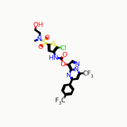 CN(CCO)S(=O)(=O)c1cc(NC(=O)Oc2cnn3c(C(F)(F)F)cc(-c4ccc(C(F)(F)F)cc4)nc23)c(Cl)s1